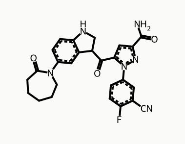 N#Cc1cc(-n2nc(C(N)=O)cc2C(=O)C2CNc3ccc(N4CCCCCC4=O)cc32)ccc1F